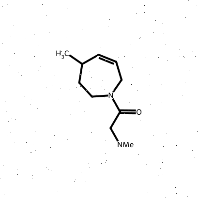 CNCC(=O)N1CC=CC(C)CC1